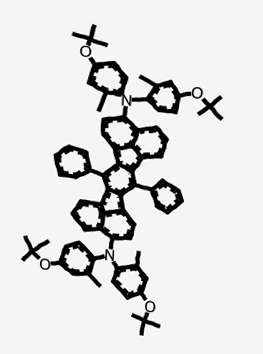 Cc1cc(OC(C)(C)C)ccc1N(c1ccc(OC(C)(C)C)cc1C)c1ccc2c3c(-c4ccccc4)c4c5cccc6c(N(c7ccc(OC(C)(C)C)cc7C)c7ccc(OC(C)(C)C)cc7C)ccc(c4c(-c4ccccc4)c3c3cccc1c32)c65